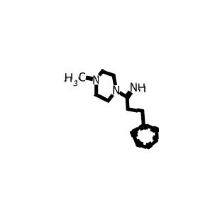 CN1CCN(C(=N)CCc2ccccc2)CC1